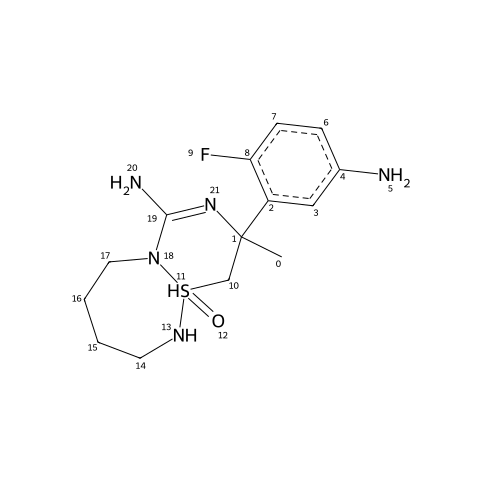 CC1(c2cc(N)ccc2F)C[SH]2(=O)NCCCCN2C(N)=N1